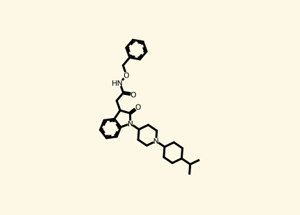 CC(C)C1CCC(N2CCC(N3C(=O)C(CC(=O)NOCc4ccccc4)c4ccccc43)CC2)CC1